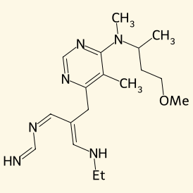 CCN/C=C(/C=N\C=N)Cc1ncnc(N(C)C(C)CCOC)c1C